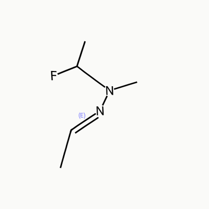 C/C=N/N(C)C(C)F